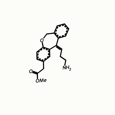 COC(=O)Cc1ccc2c(c1)C(=CCCN)c1ccccc1CO2